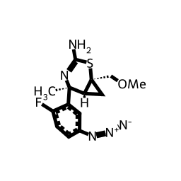 COC[C@]12C[C@H]1[C@@](C)(c1cc(N=[N+]=[N-])ccc1F)N=C(N)S2